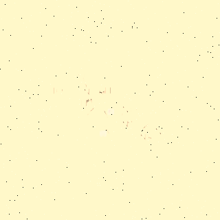 C=C1/C(=C(\C=C/C)c2noc(-c3cn4c(n3)CCCC4)n2)C[C@H]2CC(=O)N(CCO)[C@@H]12